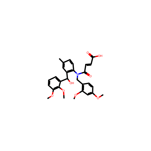 COc1ccc(CN(C(=O)C=CC(=O)O)c2ccc(C)cc2C(O)c2cccc(OC)c2OC)c(OC)c1